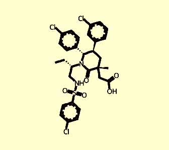 CC[C@@H](CNS(=O)(=O)c1ccc(Cl)cc1)N1C(=O)[C@@](C)(CC(=O)O)C[C@H](c2cccc(Cl)c2)[C@H]1c1ccc(Cl)cc1